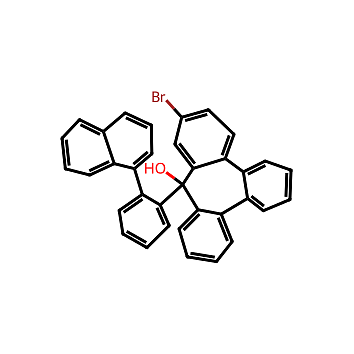 OC1(c2ccccc2-c2cccc3ccccc23)c2ccccc2-c2ccccc2-c2ccc(Br)cc21